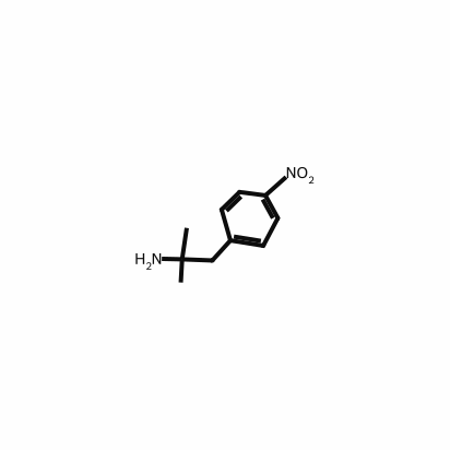 CC(C)(N)Cc1ccc([N+](=O)[O-])cc1